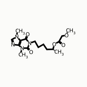 COCC(=O)O[C@H](C)CCCCn1c(=O)c2c(ncn2C)n(C)c1=O